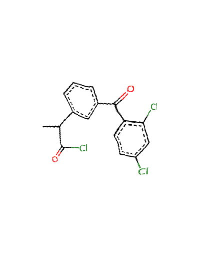 CC(C(=O)Cl)c1cccc(C(=O)c2ccc(Cl)cc2Cl)c1